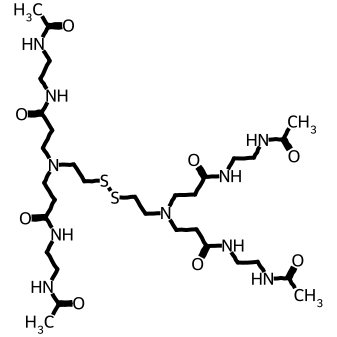 CC(=O)NCCNC(=O)CCN(CCSSCCN(CCC(=O)NCCNC(C)=O)CCC(=O)NCCNC(C)=O)CCC(=O)NCCNC(C)=O